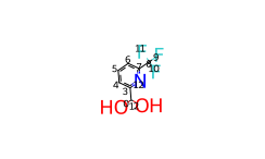 OC(O)c1cccc(C(F)(F)F)n1